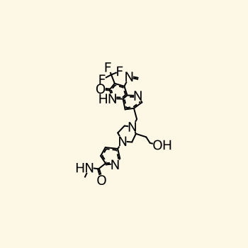 C=Nc1c(C(F)(F)F)c(=O)[nH]c2cc(CN3CCN(c4ccc(C(=O)NC)nc4)CC3CCO)cnc12